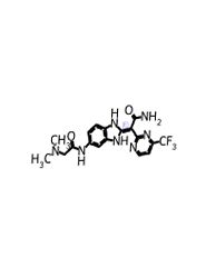 CN(C)CC(=O)Nc1ccc2c(c1)N/C(=C(/C(N)=O)c1nccc(C(F)(F)F)n1)N2